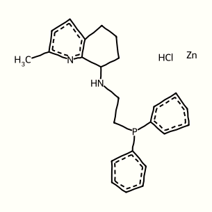 Cc1ccc2c(n1)C(NCCP(c1ccccc1)c1ccccc1)CCC2.Cl.[Zn]